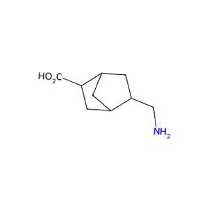 NCC1CC2CC1CC2C(=O)O